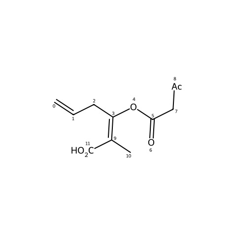 C=CCC(OC(=O)CC(C)=O)=C(C)C(=O)O